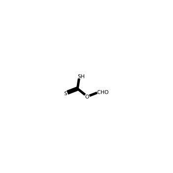 O=COC(=S)S